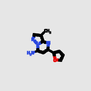 Cc1cnn2c(N)cc(-c3ccco3)nc12